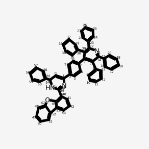 C1=C(c2ccc(-c3c(-c4ccccc4)c(-c4ccccc4)nc(-c4ccccc4)c3-c3ccccc3)cc2)N=C(c2cccc3c2oc2ccccc23)NC1c1ccccc1